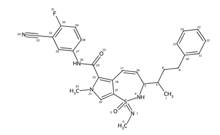 CN=S1(=O)NC(C(C)CCc2ccccc2)C=Cc2c1cn(C)c2C(=O)Nc1ccc(F)c(C#N)c1